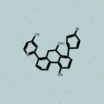 CC(=O)OC1Cc2c(-c3cc(C#N)ccn3)cccc2-c2c(O)ccc(-c3ccc(Br)cc3)c21